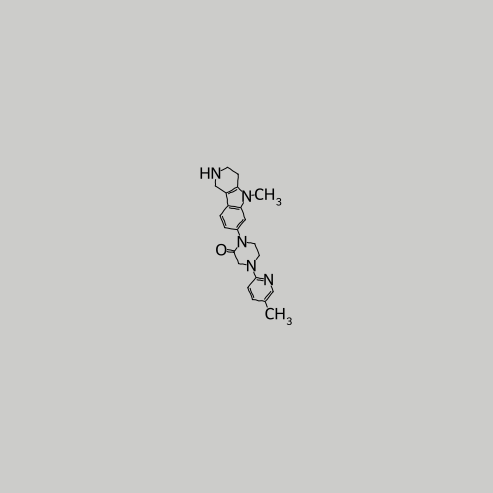 Cc1ccc(N2CCN(c3ccc4c5c(n(C)c4c3)CCNC5)C(=O)C2)nc1